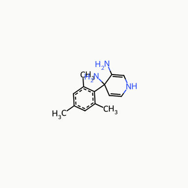 Cc1cc(C)c(C2(N)C=CNC=C2N)c(C)c1